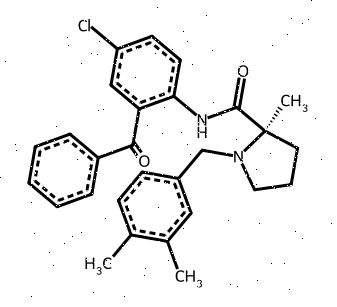 Cc1ccc(CN2CCC[C@]2(C)C(=O)Nc2ccc(Cl)cc2C(=O)c2ccccc2)cc1C